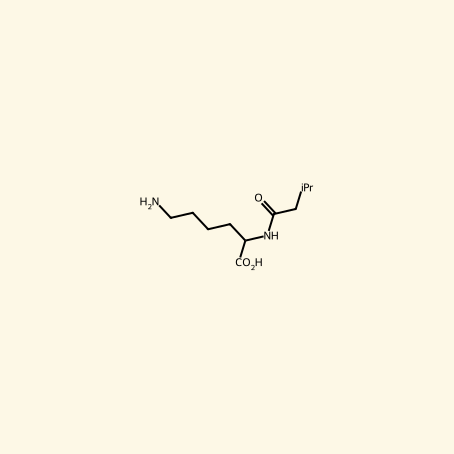 CC(C)CC(=O)NC(CCCCN)C(=O)O